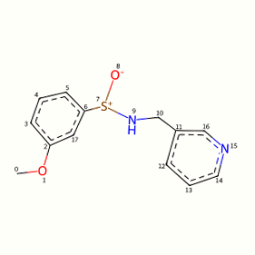 COc1cccc([S+]([O-])NCc2cccnc2)c1